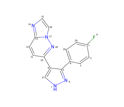 Fc1ccc(-c2n[nH]cc2-c2ccc3nccn3n2)cc1